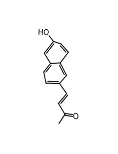 CC(=O)C=Cc1ccc2cc(O)ccc2c1